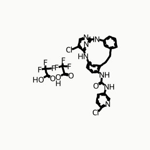 O=C(Nc1ccc(Cl)nc1)Nc1ccc2cc1CCc1cccc(c1)Nc1ncc(Cl)c(n1)N2.O=C(O)C(F)(F)F.O=C(O)C(F)(F)F